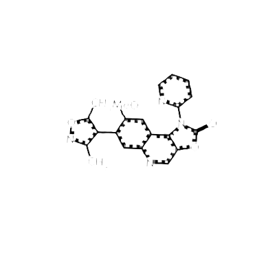 COc1cc2c(cc1-c1c(C)noc1C)ncc1oc(=O)n(-c3ccccn3)c12